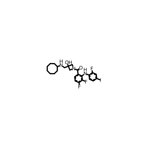 O=C(c1ccc(F)c(F)c1Nc1ccc(I)cc1F)N1CC(O)(CNC2CCCCCCC2)C1